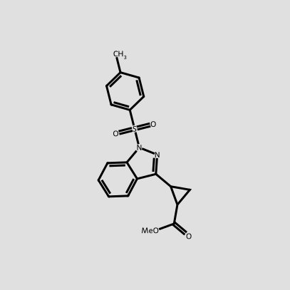 COC(=O)C1CC1c1nn(S(=O)(=O)c2ccc(C)cc2)c2ccccc12